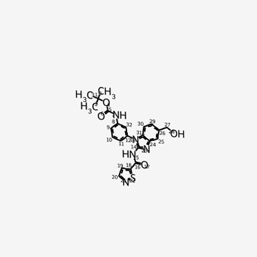 CC(C)(C)OC(=O)Nc1cccc(-n2c(NC(=O)c3ccns3)nc3cc(CO)ccc32)c1